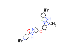 CC(C)c1ccc(F)c(Nc2nc3cc(Oc4ccnc(NC(=O)C5CCN(C(C)C)CC5)c4)ccc3n2C)c1